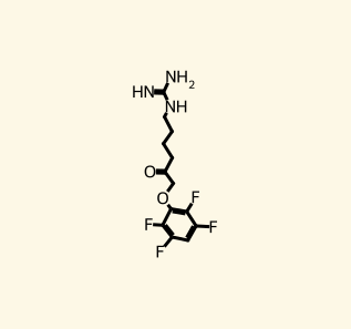 N=C(N)NCCCCC(=O)COc1c(F)c(F)cc(F)c1F